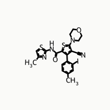 Cc1ccc(-c2c(C(=O)Nc3nc(C)cs3)sc(N3CCOCC3)c2C#N)c(I)c1